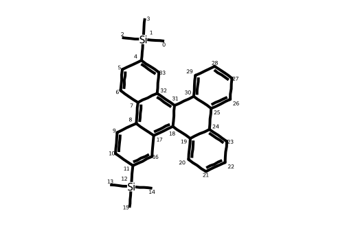 C[Si](C)(C)c1ccc2c3ccc([Si](C)(C)C)cc3c3c4ccccc4c4ccccc4c3c2c1